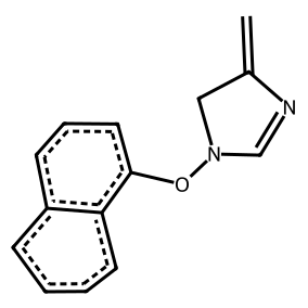 C=C1CN(Oc2cccc3ccccc23)C=N1